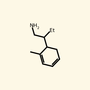 CCC(CN)C1CC=CC=C1C